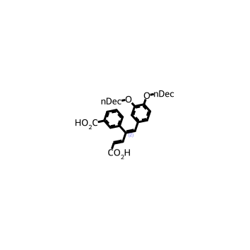 CCCCCCCCCCOc1ccc(/C=C(/C=CC(=O)O)c2cccc(C(=O)O)c2)cc1OCCCCCCCCCC